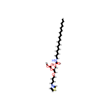 CCCCCCCCCCCCCCCCCCNC(=O)OC[C@@H](COCCCC[n+]1ccsc1)OC(=O)OC